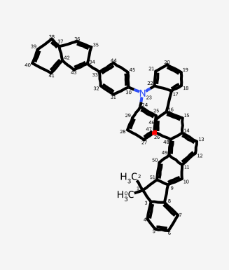 CC1(C)c2ccccc2-c2cc3ccc4cc(-c5ccccc5N(c5ccccc5)c5ccc(-c6ccc7ccccc7c6)cc5)ccc4c3cc21